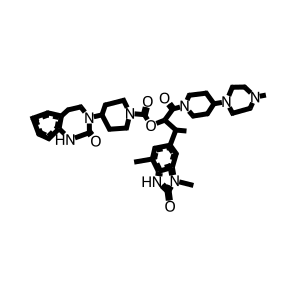 Cc1cc(C(C)C(OC(=O)N2CCC(N3CCc4ccccc4NC3=O)CC2)C(=O)N2CCC(N3CCN(C)CC3)CC2)cc2c1[nH]c(=O)n2C